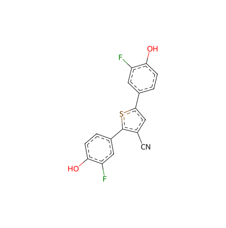 N#Cc1cc(-c2ccc(O)c(F)c2)sc1-c1ccc(O)c(F)c1